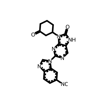 [C-]#[N+]c1ccc2ncn(-c3ncc4[nH]c(=O)n(C5CCCC(=O)C5)c4n3)c2c1